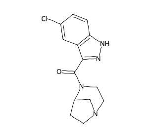 O=C(c1n[nH]c2ccc(Cl)cc12)N1CCN2CCC1C2